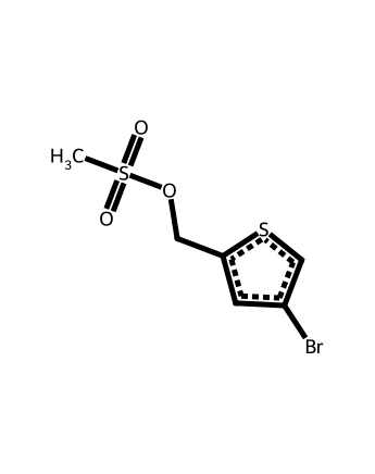 CS(=O)(=O)OCc1cc(Br)cs1